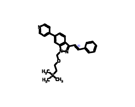 C[Si](C)(C)CCOCn1nc(/C=C/c2ccccc2)c2ccc(-c3ccncc3)cc21